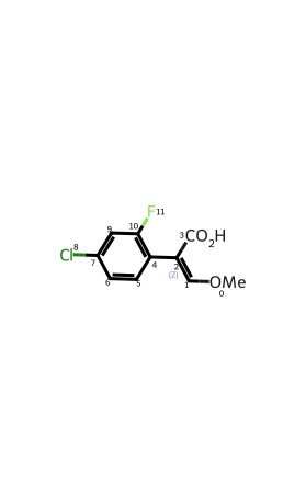 CO/C=C(\C(=O)O)c1ccc(Cl)cc1F